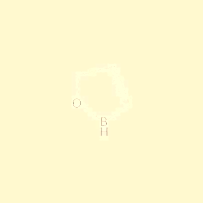 B1C=CCO1